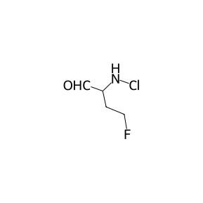 O=CC(CCF)NCl